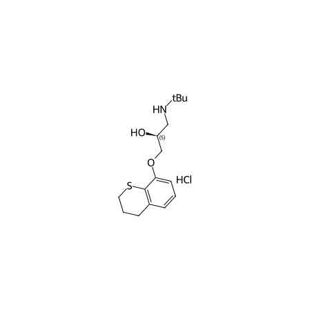 CC(C)(C)NC[C@H](O)COc1cccc2c1SCCC2.Cl